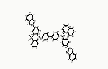 CC1(C)c2ccccc2N(c2ccc(-c3ccc(N(c4ccc(-c5nc6ccccc6s5)cc4)c4cccc5ccccc45)cc3)cc2)c2ccc(-c3nc4ccccc4s3)cc21